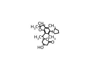 Cc1c2c(c(C(C)[C@@H]3C[C@@H](O)CC(=O)O3)c(C)c1N1CCCC1)OC(C)(C)C2